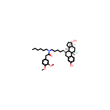 CCCCCCN(CCCCC[C@@H]1Cc2cc(O)ccc2[C@@H]2[C@@H]1[C@@H]1CC[C@H](O)[C@@]1(C)C[C@@H]2F)C(=O)Cc1ccc(OC)c(OC)c1